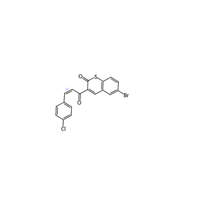 O=C(/C=C\c1ccc(Cl)cc1)c1cc2cc(Br)ccc2sc1=O